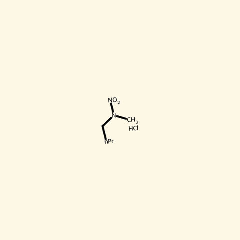 CCCCN(C)[N+](=O)[O-].Cl